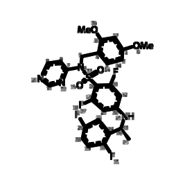 COc1ccc(CN(c2ccncn2)S(=O)(=O)c2c(F)cc(N[C@@H](C)c3cc(F)ccc3F)cc2F)c(OC)c1